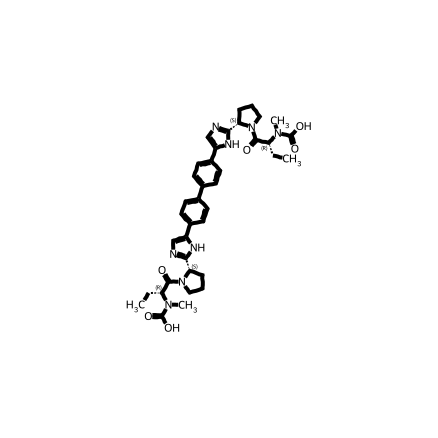 CC[C@H](C(=O)N1CCC[C@H]1c1ncc(-c2ccc(-c3ccc(-c4cnc([C@@H]5CCCN5C(=O)[C@@H](CC)N(C)C(=O)O)[nH]4)cc3)cc2)[nH]1)N(C)C(=O)O